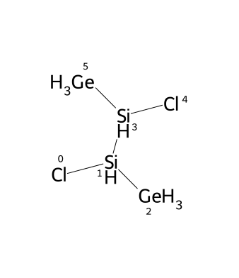 Cl[SiH]([GeH3])[SiH](Cl)[GeH3]